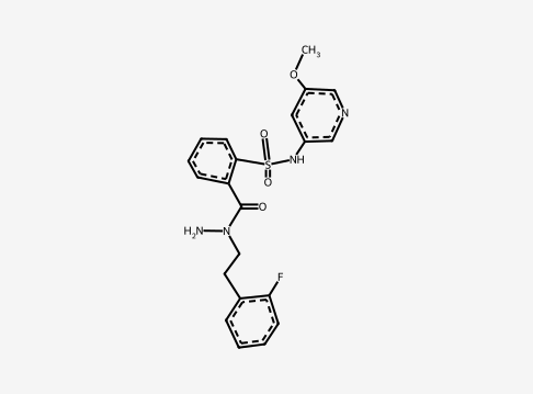 COc1cncc(NS(=O)(=O)c2ccccc2C(=O)N(N)CCc2ccccc2F)c1